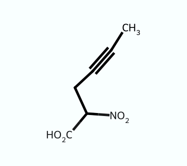 CC#CCC(C(=O)O)[N+](=O)[O-]